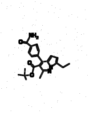 CCc1ccc2c(-c3ccc(C(N)=O)cc3)c(C(=O)OC(C)(C)C)c(C)nn12